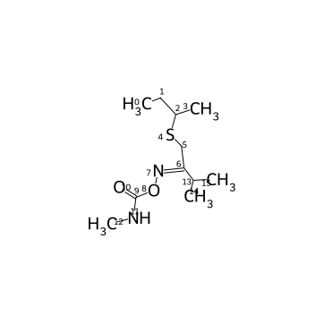 CCC(C)SCC(=NOC(=O)NC)C(C)C